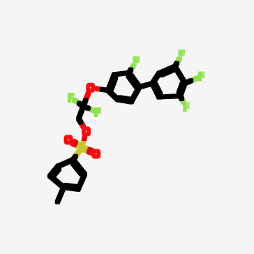 Cc1ccc(S(=O)(=O)OCC(F)(F)Oc2ccc(-c3cc(F)c(F)c(F)c3)c(F)c2)cc1